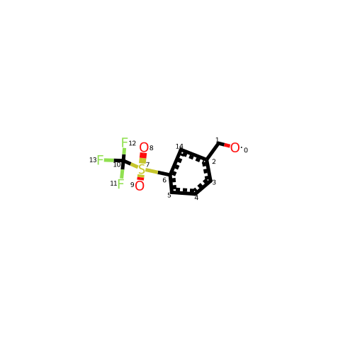 [O]Cc1cccc(S(=O)(=O)C(F)(F)F)c1